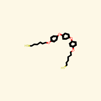 SCCCCCCOc1ccc(Oc2ccc(Oc3ccc(OCCCCCCS)cc3)cc2)cc1